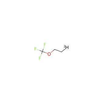 [2H]CCOC(F)(F)F